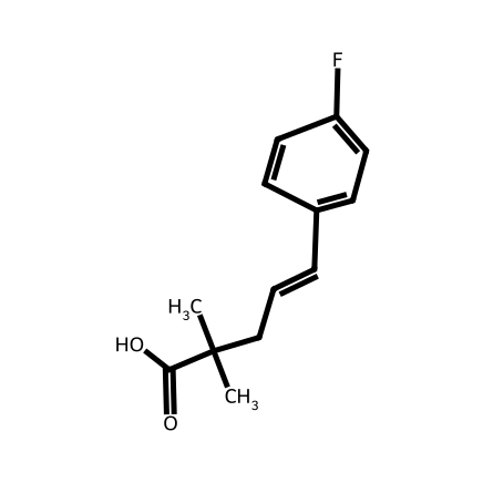 CC(C)(CC=Cc1ccc(F)cc1)C(=O)O